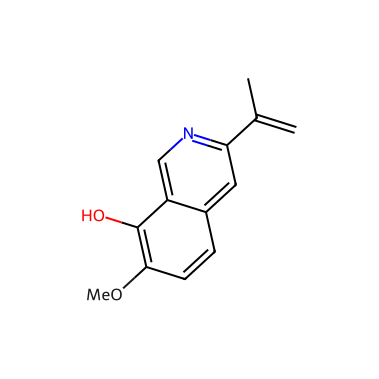 C=C(C)c1cc2ccc(OC)c(O)c2cn1